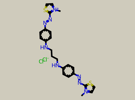 C[n+]1ccsc1N=Nc1ccc(NCCCNc2ccc(N=Nc3scc[n+]3C)cc2)cc1.[Cl-].[Cl-]